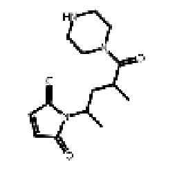 CC(CC(C)N1C(=O)C=CC1=O)C(=O)N1CCNCC1